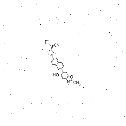 Cc1nc2cc(O)c(-c3ccc4nc(N5CCC(B(C#N)C6CCC6)C5)ccc4n3)cc2o1